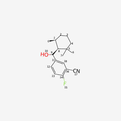 C[C@H]1CCCC(C)(C)[C@H]1C(O)c1ccc(F)c(C#N)c1